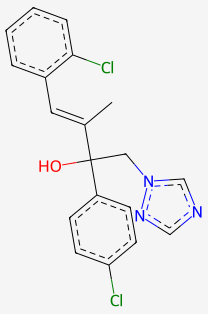 CC(=Cc1ccccc1Cl)C(O)(Cn1cncn1)c1ccc(Cl)cc1